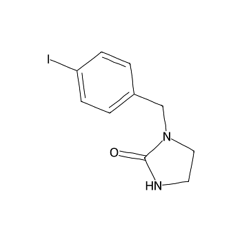 O=C1NCCN1Cc1ccc(I)cc1